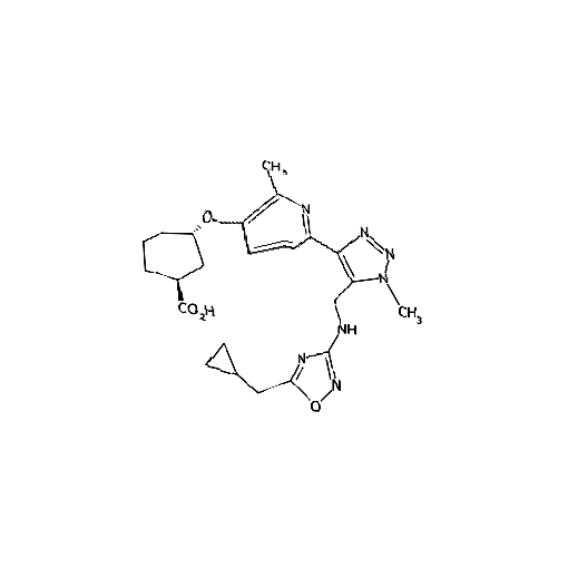 Cc1nc(-c2nnn(C)c2CNc2noc(CC3CC3)n2)ccc1O[C@H]1CCC[C@H](C(=O)O)C1